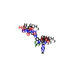 CO[C@@H](C)c1ncc(N2CCN(C3CC3)CC2)cc1-c1c(CC(C)(C)COC(C)=O)c2cc(N3CCOC(CC(NC(=O)OC(C)(C)C)C(=O)N4CCCC(C(=O)O)N4)C3)ccc2n1C(F)C(F)F